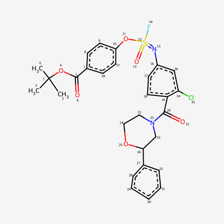 CC(C)(C)OC(=O)c1ccc(OS(=O)(F)=Nc2ccc(C(=O)N3CCOC(c4ccccc4)C3)c(Cl)c2)cc1